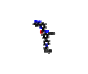 COc1cc(C2CCN(CCC(=O)O)CC2)ccc1NC(=O)c1cccc(-c2ccn[nH]2)n1